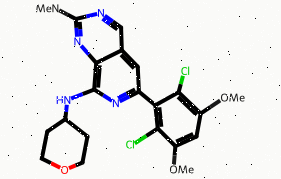 CNc1ncc2cc(-c3c(Cl)c(OC)cc(OC)c3Cl)nc(NC3CCOCC3)c2n1